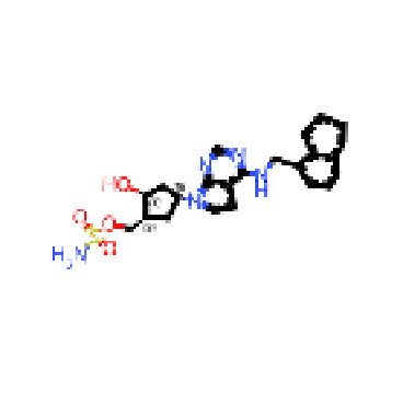 NS(=O)(=O)OC[C@@H]1C[C@@H](n2ccc3c(NCc4cccc5ccccc45)ncnc32)C[C@@H]1O